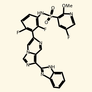 COc1ncc(F)cc1S(=O)(=O)Nc1ccc(F)c(-c2cn3cnc(-c4nc5ccccc5[nH]4)c3cn2)c1F